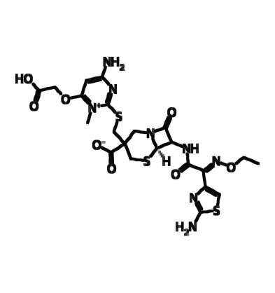 CCON=C(C(=O)NC1C(=O)N2CC(CSc3nc(N)cc(OCC(=O)O)[n+]3C)(C(=O)[O-])CS[C@H]12)c1csc(N)n1